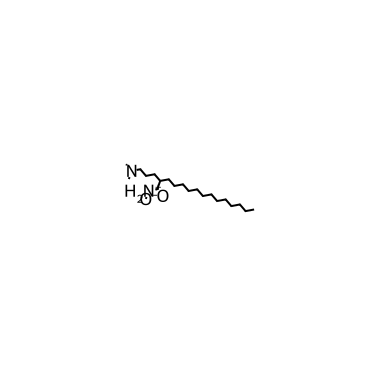 CCCCCCCCCCCCCC(CCCN(C)C)C(=O)[NH2+][O-]